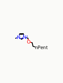 CCCCCCCOC[n+]1ccn(C)c1